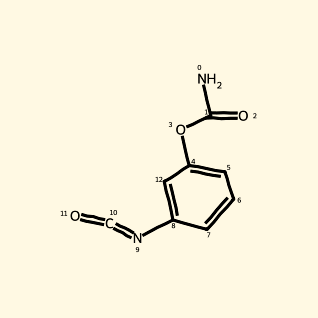 NC(=O)Oc1cccc(N=C=O)c1